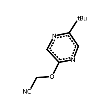 CC(C)(C)c1cnc(OCC#N)cn1